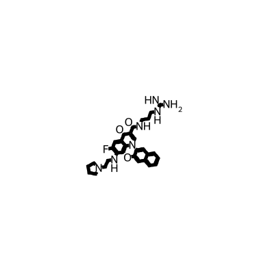 N=C(N)NCCCNC(=O)c1cn2c3c(c(NCCN4CCCC4)c(F)cc3c1=O)Oc1cc3ccccc3cc1-2